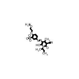 CCC(C)n1c(O)c(N=Nc2ccc(OCCOC)c(S(=O)(=O)Cl)c2)c(C)c(C#N)c1=O